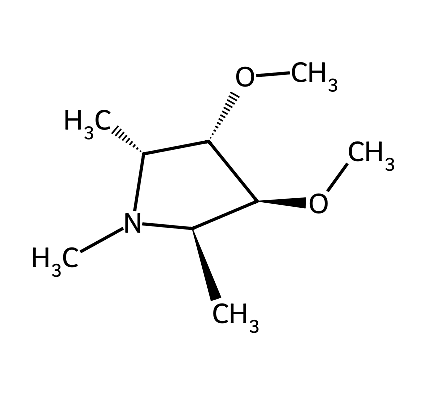 CO[C@@H]1[C@@H](OC)[C@@H](C)N(C)[C@@H]1C